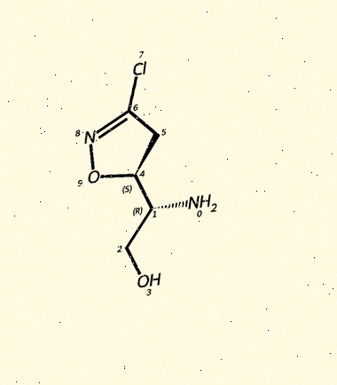 N[C@H](CO)[C@@H]1CC(Cl)=NO1